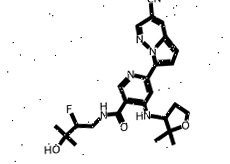 CC(C)(O)C(F)CNC(=O)c1cnc(-c2ccc3cc(C#N)cnn23)cc1NC1CCOC1(C)C